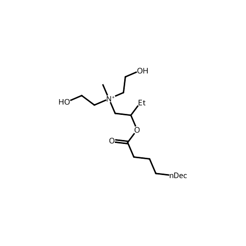 CCCCCCCCCCCCCC(=O)OC(CC)C[N+](C)(CCO)CCO